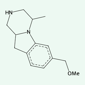 COCc1ccc2c(c1)N1C(C)CNCC1C2